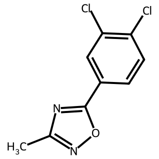 Cc1noc(-c2ccc(Cl)c(Cl)c2)n1